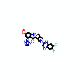 COc1ccc(C(=O)C2NCC3CN(c4cnc5cc(F)c(F)cc5n4)C=C32)c(-n2nccn2)c1